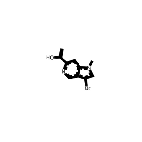 C=C(O)c1cc2c(cn1)c(Br)cn2C